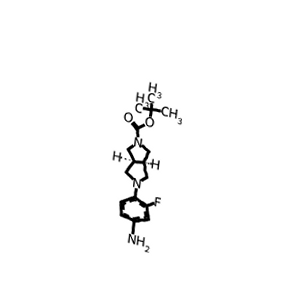 CC(C)(C)OC(=O)N1C[C@@H]2CN(c3ccc(N)cc3F)C[C@@H]2C1